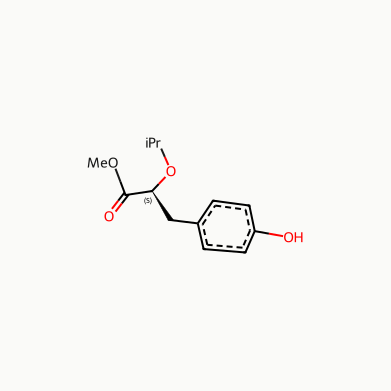 COC(=O)[C@H](Cc1ccc(O)cc1)OC(C)C